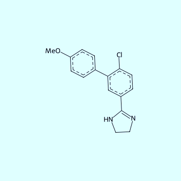 COc1ccc(-c2cc(C3=NCCN3)ccc2Cl)cc1